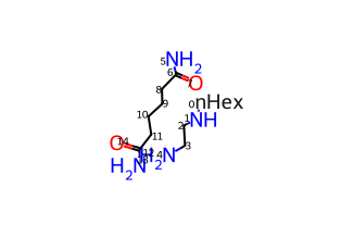 CCCCCCNCCN.NC(=O)CCCCC(N)=O